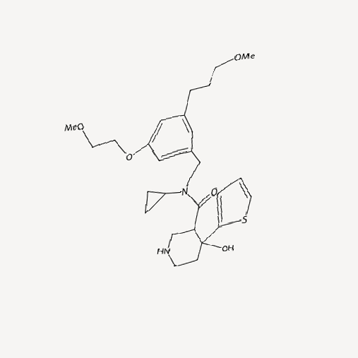 COCCCc1cc(CN(C(=O)C2CNCCC2(O)c2cccs2)C2CC2)cc(OCCOC)c1